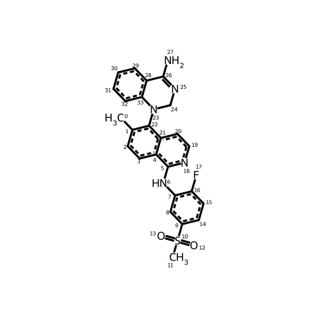 Cc1ccc2c(Nc3cc(S(C)(=O)=O)ccc3F)nccc2c1N1CN=C(N)c2ccccc21